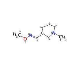 CON=CC1CCCN(C)C1